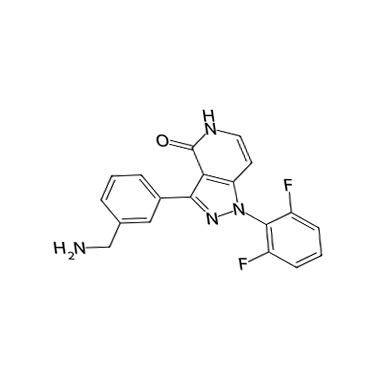 NCc1cccc(-c2nn(-c3c(F)cccc3F)c3cc[nH]c(=O)c23)c1